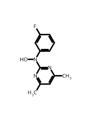 Cc1cc(C)nc(N(O)c2cccc(F)c2)n1